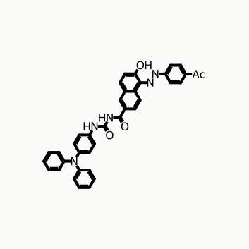 CC(=O)c1ccc(N=Nc2c(O)ccc3cc(C(=O)NC(=O)Nc4ccc(N(c5ccccc5)c5ccccc5)cc4)ccc23)cc1